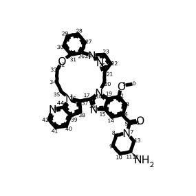 COc1cc(C(=O)N2CCC[C@@H](N)C2)cc2nc3n(c12)Cc1ccn(n1)-c1ccccc1OCCCn1c-3cc2cccnc21